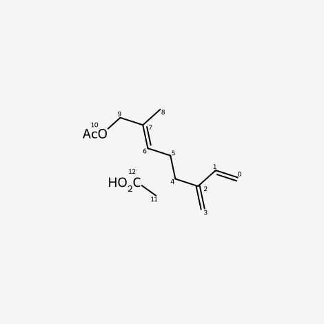 C=CC(=C)CCC=C(C)COC(C)=O.CC(=O)O